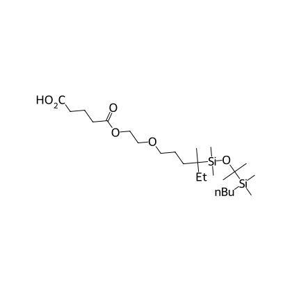 CCCC[Si](C)(C)C(C)(C)O[Si](C)(C)C(C)(CC)CCCOCCOC(=O)CCCC(=O)O